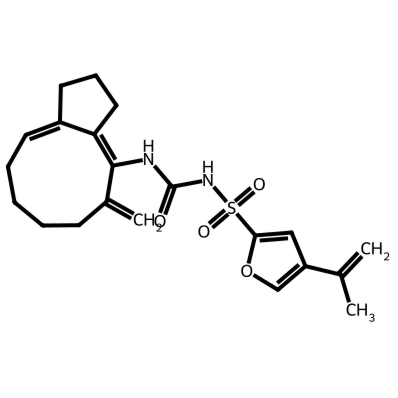 C=C1CCCC/C=C2/CCC/C2=C/1NC(=O)NS(=O)(=O)c1cc(C(=C)C)co1